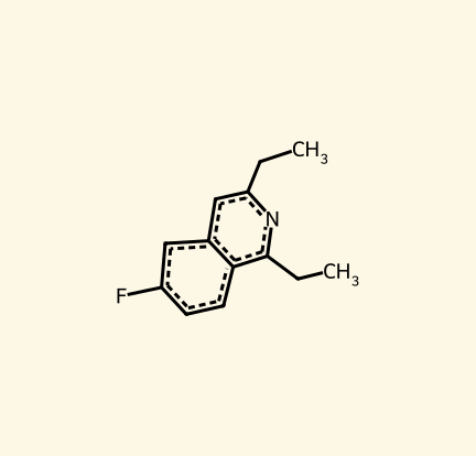 CCc1cc2cc(F)ccc2c(CC)n1